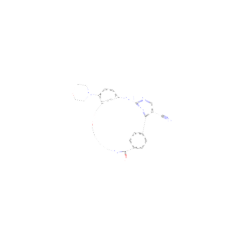 N#Cc1cnc2nc1-c1ccc(cc1)C(=O)NCCCCOCc1cc(ccc1N1CCOCC1)N2